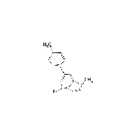 Cc1ccc(-c2cc(Br)c3c(c2)C(C)C=C3)cc1